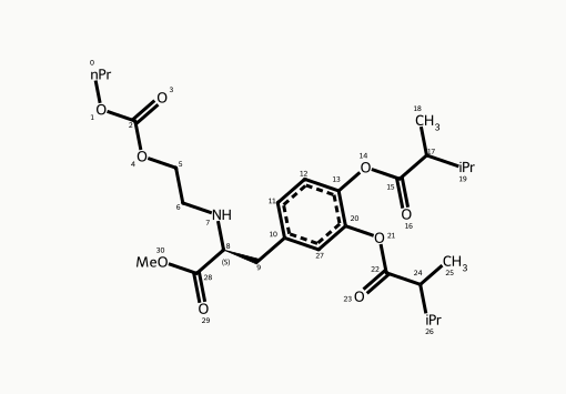 CCCOC(=O)OCCN[C@@H](Cc1ccc(OC(=O)C(C)C(C)C)c(OC(=O)C(C)C(C)C)c1)C(=O)OC